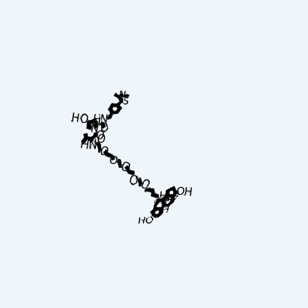 Cc1ncsc1-c1ccc(CNC(=O)[C@@H]2C[C@@H](O)CN2C(=O)[C@@H](NC(=O)COCCOCCOCCOCCOCCCC[C@@H]2Cc3cc(O)ccc3[C@H]3CC[C@]4(C)[C@@H](O)CC[C@H]4[C@H]23)C(C)C)cc1